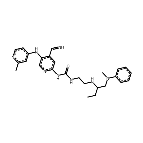 CCC(CN(C)c1ccccc1)NCCNC(=O)Nc1cc(C=N)c(Nc2ccnc(C)c2)cn1